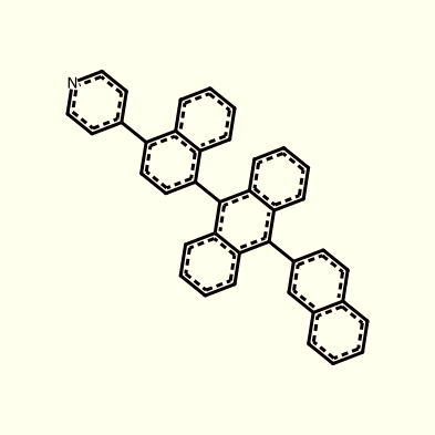 c1ccc2cc(-c3c4ccccc4c(-c4ccc(-c5ccncc5)c5ccccc45)c4ccccc34)ccc2c1